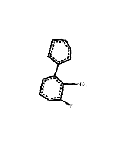 O=[N+]([O-])c1c(F)[c]ccc1-c1ccccc1